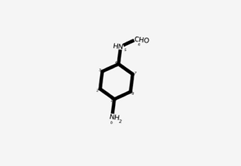 NC1CCC(NC=O)CC1